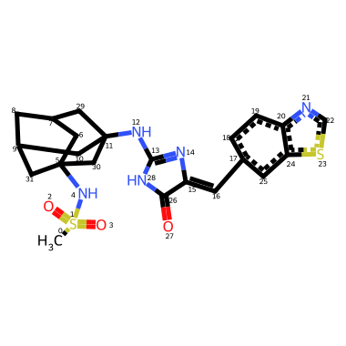 CS(=O)(=O)NC12CC3CC(CC(NC4=N/C(=C\c5ccc6ncsc6c5)C(=O)N4)(C3)C1)C2